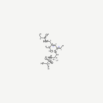 C/C=C(\C=C(\CNC(=O)CC)C(C)Cl)OC[C@H](C)NS(=O)(=O)C(F)F